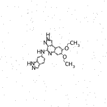 CCOc1cc2nc(Nc3ccc4cn[nH]c4c3)c3n[nH]cc3c2cc1OCC